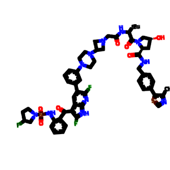 Cc1ncsc1-c1ccc(CNC(=O)[C@@H]2C[C@@H](O)CN2C(=O)C(NC(=O)CN2CC(N3CCN(c4cccc(-c5cc6c(C(=O)c7ccccc7NS(=O)(=O)N7CCC(F)C7)c(F)[nH]c6nc5F)c4)CC3)C2)C(C)(C)C)cc1